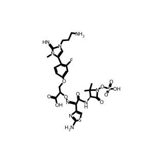 Cn1c(-c2ccc(OCC(O/N=C(\C(=O)N[C@@H]3C(=O)N(OS(=O)(=O)O)C3(C)C)c3csc(N)n3)C(=O)O)cc2F)cn(CCCN)c1=N